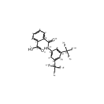 O=C(O)c1ccccc1C(=O)Nc1cc(C(F)(F)F)cc(C(F)(F)F)c1